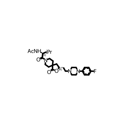 CC(=O)N[C@H](C(=O)N1CCC2(CC1)C[C@H](CCN1CCN(c3ccc(F)cc3)CC1)OC2=O)C(C)C